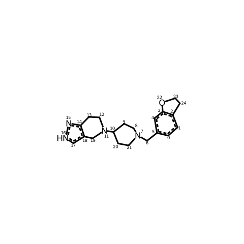 c1cc2c(cc1CN1CCC(N3CCc4n[nH]cc4C3)CC1)OCC2